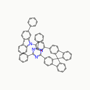 c1ccc(-c2ccc3c4ccccc4n(-c4ccc(-c5ccc6c(c5)C5(c7ccccc7-6)c6ccccc6-c6ccc(-c7nc(-c8ccccc8)nc(-c8ccccc8)n7)cc65)cc4)c3c2)cc1